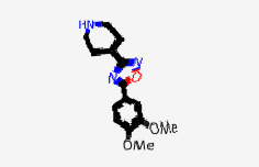 COc1ccc(-c2nc(C3CCNCC3)no2)cc1OC